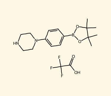 CC1(C)OB(c2ccc(N3CCNCC3)cc2)OC1(C)C.O=C(O)C(F)(F)F